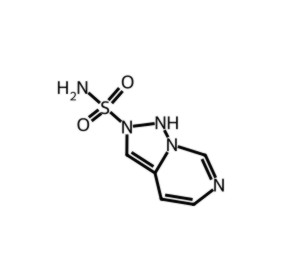 NS(=O)(=O)N1C=C2C=CN=CN2N1